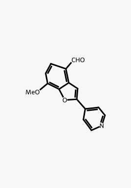 COc1ccc(C=O)c2cc(-c3ccncc3)oc12